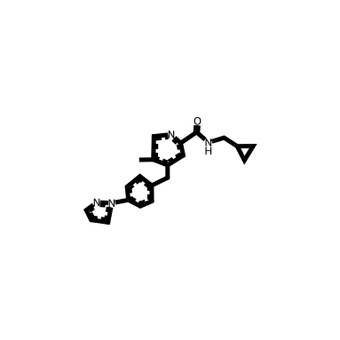 Cc1cnc(C(=O)NCC2CC2)cc1Cc1ccc(-n2cccn2)cc1